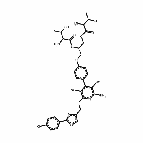 [C-]#[N+]c1c(N)nc(SCc2coc(-c3ccc(Cl)cc3)n2)c(C#N)c1-c1ccc(OC[C@@H](COC(=O)[C@@H](N)[C@@H](C)O)OC(=O)[C@@H](N)[C@@H](C)O)cc1